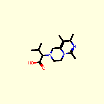 CC1=NC(C)C(C)=C2CN(C(C(=O)O)C(C)C)CCN12